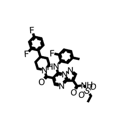 CCS(=O)(=O)NC(=O)c1cnn2c(Nc3cc(C)ccc3F)c(C(=O)N3CCC(c4ccc(F)cc4F)CC3)cnc12